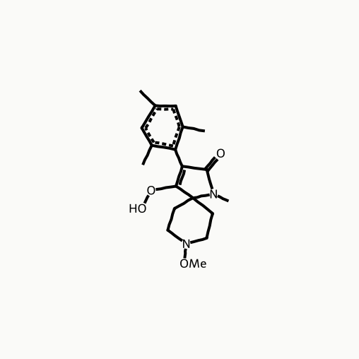 CON1CCC2(CC1)C(OO)=C(c1c(C)cc(C)cc1C)C(=O)N2C